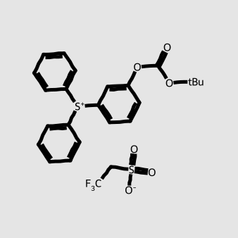 CC(C)(C)OC(=O)Oc1cccc([S+](c2ccccc2)c2ccccc2)c1.O=S(=O)([O-])CC(F)(F)F